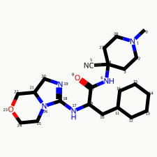 CN1CCC(C#N)(NC(=O)C(CC2CCCCC2)NC2=NCC3COCCN23)CC1